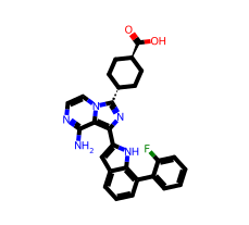 Nc1nccn2c1c(-c1cc3cccc(-c4ccccc4F)c3[nH]1)nc2[C@H]1CC[C@H](C(=O)O)CC1